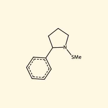 CSN1CCCC1c1ccccc1